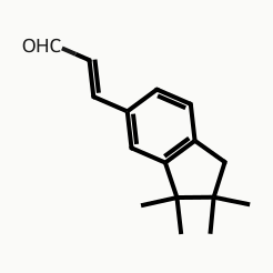 CC1(C)Cc2ccc(C=CC=O)cc2C1(C)C